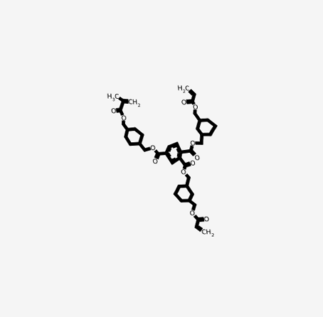 C=CC(=O)OCC1CCCC(COC(=O)c2ccc(C(=O)OCC3CCC(COC(=O)C(=C)C)CC3)cc2C(=O)OCC2CCCC(COC(=O)C=C)C2)C1